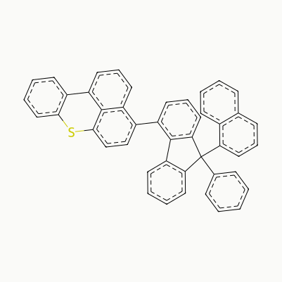 c1ccc(C2(c3cccc4ccccc34)c3ccccc3-c3c(-c4ccc5c6c(cccc46)-c4ccccc4S5)cccc32)cc1